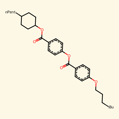 CCCCCC1CCC(OC(=O)c2ccc(OC(=O)c3ccc(OCCCC(C)CC)cc3)cc2)CC1